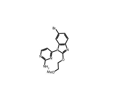 COCCOc1nc2ccc(Br)cc2n1-c1ccnc(N)n1